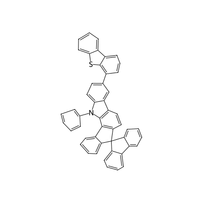 c1ccc(-n2c3ccc(-c4cccc5c4sc4ccccc45)cc3c3ccc4c(c32)-c2ccccc2C42c3ccccc3-c3ccccc32)cc1